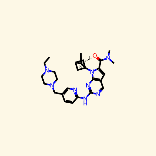 CCN1CCN(Cc2ccc(Nc3ncc4cc(C(=O)N(C)C)n(C56CC(C5)[C@H]6C)c4n3)nc2)CC1